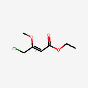 CCOC(=O)/C=C(/CCl)OC